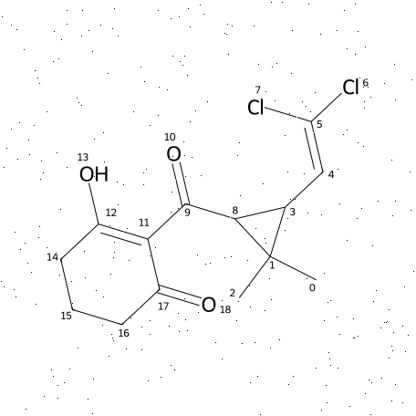 CC1(C)C(C=C(Cl)Cl)C1C(=O)C1=C(O)CCCC1=O